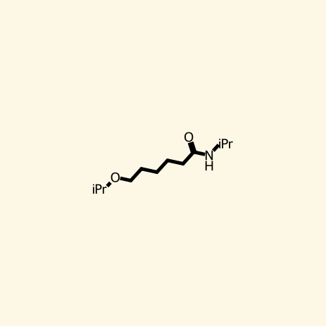 CC(C)NC(=O)CCCCCOC(C)C